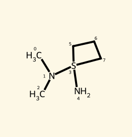 CN(C)S1(N)CCC1